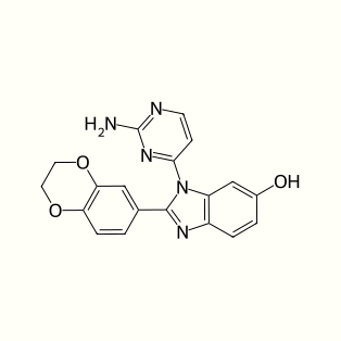 Nc1nccc(-n2c(-c3ccc4c(c3)OCCO4)nc3ccc(O)cc32)n1